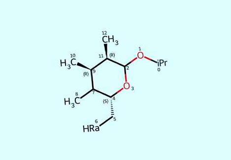 CC(C)OC1O[C@H]([CH2][RaH])C(C)[C@@H](C)[C@H]1C